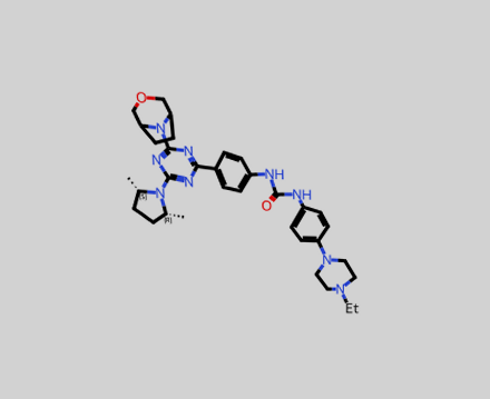 CCN1CCN(c2ccc(NC(=O)Nc3ccc(-c4nc(N5C6CCC5COC6)nc(N5[C@H](C)CC[C@@H]5C)n4)cc3)cc2)CC1